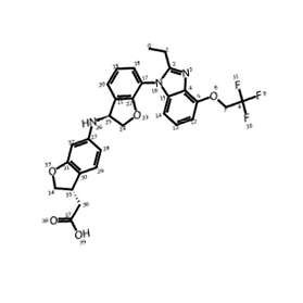 CCc1nc2c(OCC(F)(F)F)cccc2n1-c1cccc2c1OC[C@H]2Nc1ccc2c(c1)OC[C@H]2CC(=O)O